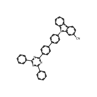 N#Cc1ccc2c3ccccc3n(-c3ccc(-c4ccc(-c5nc(-c6ccccc6)nc(-c6ccccc6)n5)cc4)cc3)c2c1